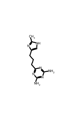 Cc1nc(CCCc2nc(N)nc(N)n2)c[nH]1